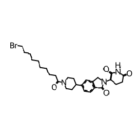 O=C1CCC(N2Cc3cc(C4CCN(C(=O)CCCCCCCCCBr)CC4)ccc3C2=O)C(=O)N1